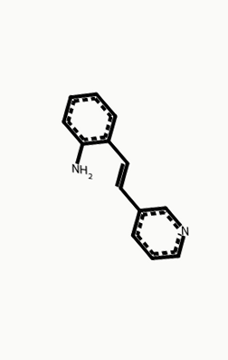 Nc1ccccc1C=Cc1cccnc1